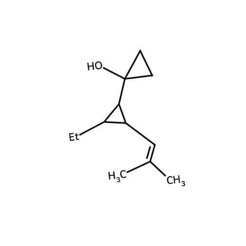 CCC1C(C=C(C)C)C1C1(O)CC1